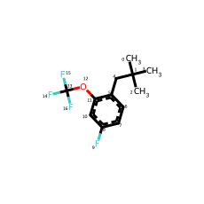 CC(C)(C)Cc1ccc(F)cc1OC(F)(F)F